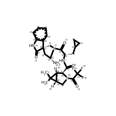 CC1(C)[C@@H]2[C@@H](C(=O)N[C@@H](CC3CC3)C(=O)N3C[C@]4(C[C@H]3N)C(=O)Nc3ccccc34)N(C(=O)C(F)(F)F)C[C@@H]21